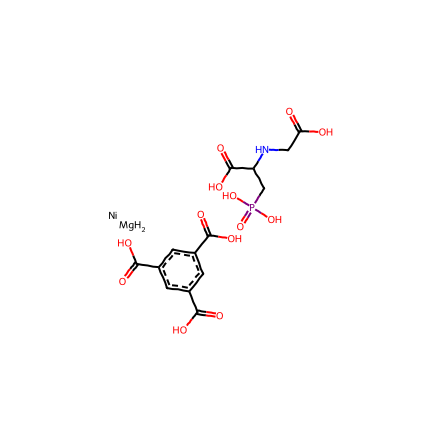 O=C(O)CNC(CP(=O)(O)O)C(=O)O.O=C(O)c1cc(C(=O)O)cc(C(=O)O)c1.[MgH2].[Ni]